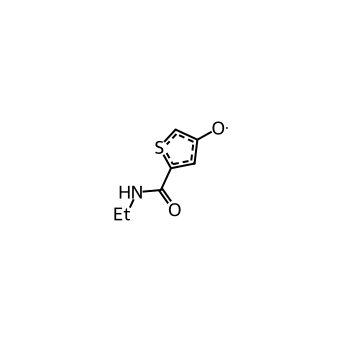 CCNC(=O)c1cc([O])cs1